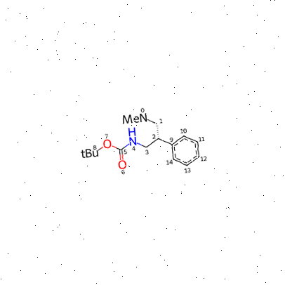 CNC[C@@H](CNC(=O)OC(C)(C)C)c1ccccc1